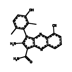 Cc1ccc(O)c(C)c1-n1c(N)c(C(N)=O)c2nc3cccc(C#N)c3nc21